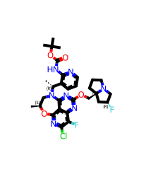 C[C@H](c1cccnc1NC(=O)OC(C)(C)C)N1C[C@H](C)Oc2nc(Cl)c(F)c3nc(OC[C@@]45CCCN4C[C@H](F)C5)nc1c23